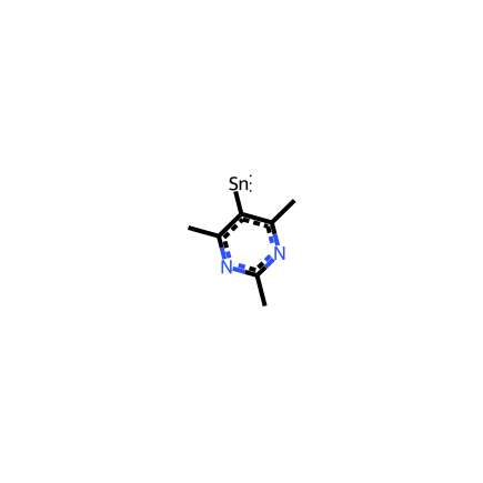 Cc1nc(C)[c]([Sn])c(C)n1